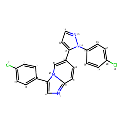 Clc1ccc(-c2cnc3ccc(-c4ccnn4-c4ccc(Cl)cc4)cn23)cc1